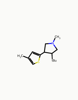 Cc1csc(C2CN(C)CC2C(C)(C)C)c1